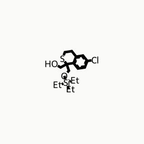 CC[Si](CC)(CC)OCC1(CO)SCCc2cc(Cl)ccc21